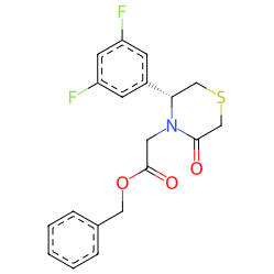 O=C(CN1C(=O)CSC[C@H]1c1cc(F)cc(F)c1)OCc1ccccc1